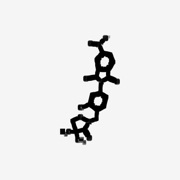 CC1(C)CON(Cc2ccc(N3C(=O)c4ccc([N+](=O)[O-])cc4C3=O)cc2Cl)C1=O